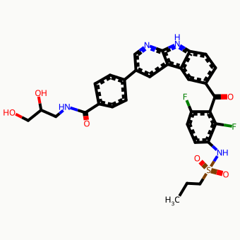 CCCS(=O)(=O)Nc1ccc(F)c(C(=O)c2ccc3[nH]c4ncc(-c5ccc(C(=O)NCC(O)CO)cc5)cc4c3c2)c1F